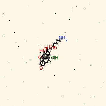 C[C@]12CCC(=O)C=C1CC[C@@H]1[C@@H]2C(=O)C[C@@]2(C)[C@H]1CC[C@]2(O)C(=O)COC(=O)CCCCN.Cl